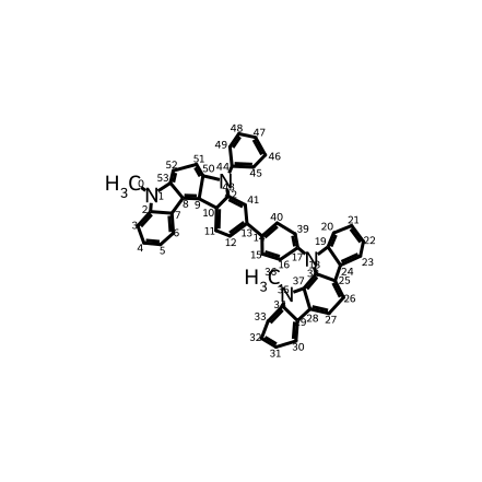 Cn1c2ccccc2c2c3c4ccc(-c5ccc(-n6c7ccccc7c7ccc8c9ccccc9n(C)c8c76)cc5)cc4n(-c4ccccc4)c3ccc21